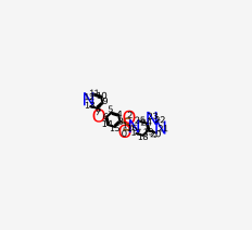 O=S(=O)(c1ccc(Oc2cccnc2)cc1)N1CCc2[c]ncnc2C1